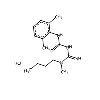 CCCCN(C)C(=N)NC(=O)Nc1c(C)cccc1C.Cl